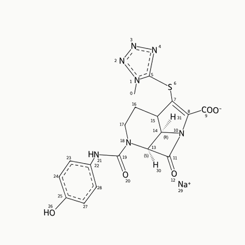 Cn1nnnc1SC1=C(C(=O)[O-])N2C(=O)[C@@H]3[C@H]2C1CCN3C(=O)Nc1ccc(O)cc1.[Na+]